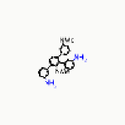 CNc1cccc(-c2ccc(-c3cccc(N)c3)c(NC)c2-c2cccc(N)c2)c1